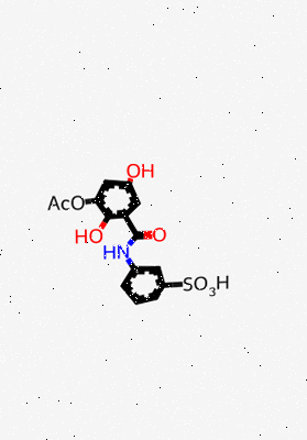 CC(=O)Oc1cc(O)cc(C(=O)Nc2cccc(S(=O)(=O)O)c2)c1O